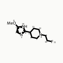 COc1cnc(C2CCN(CCF)CC2)[nH]1